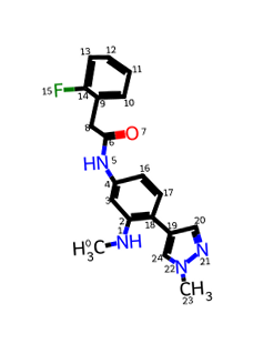 CNc1cc(NC(=O)Cc2ccccc2F)ccc1-c1cnn(C)c1